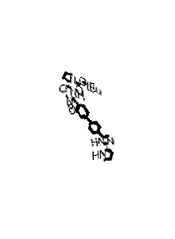 CC(C)(C)OC(=O)N1CCC[C@H]1C(=O)Nc1noc2cc(-c3ccc(-c4cnc([C@@H]5CCCN5)[nH]4)cc3)ccc12